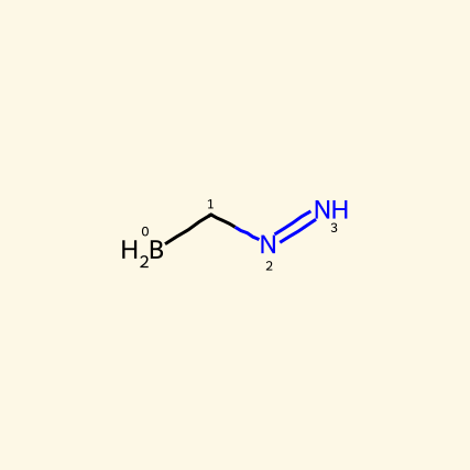 BCN=N